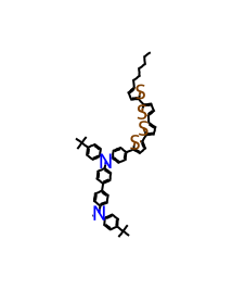 CCCCCCc1ccc(-c2ccc(-c3ccc(-c4ccc(-c5ccc(N(c6ccc(-c7ccc(N(C)c8ccc(C(C)(C)C)cc8)cc7)cc6)c6ccc(C(C)(C)C)cc6)cc5)s4)s3)s2)s1